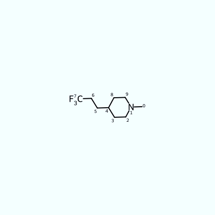 CN1CCC(CCC(F)(F)F)CC1